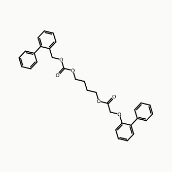 O=C(COc1ccccc1-c1ccccc1)OCCCCOC(=O)OCc1ccccc1-c1ccccc1